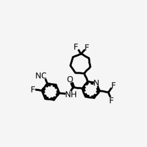 N#Cc1cc(NC(=O)c2ccc(C(F)F)nc2C2CCCC(F)(F)CC2)ccc1F